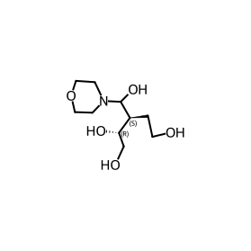 OCC[C@H](C(O)N1CCOCC1)[C@@H](O)CO